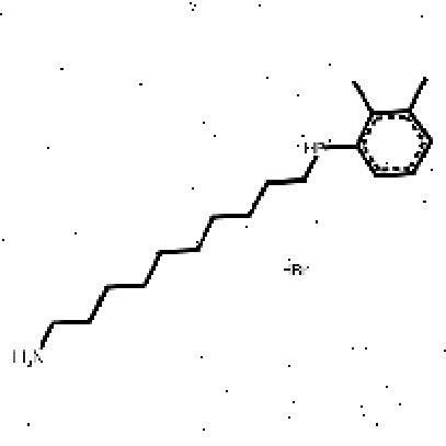 Br.Cc1cccc(PCCCCCCCCCCN)c1C